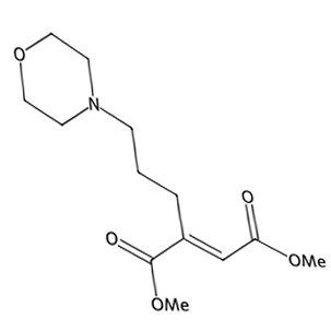 COC(=O)/C=C(\CCCN1CCOCC1)C(=O)OC